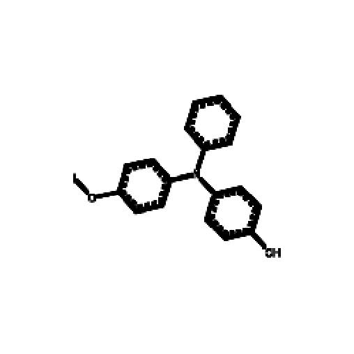 Oc1ccc(N(c2ccccc2)c2ccc(OI)cc2)cc1